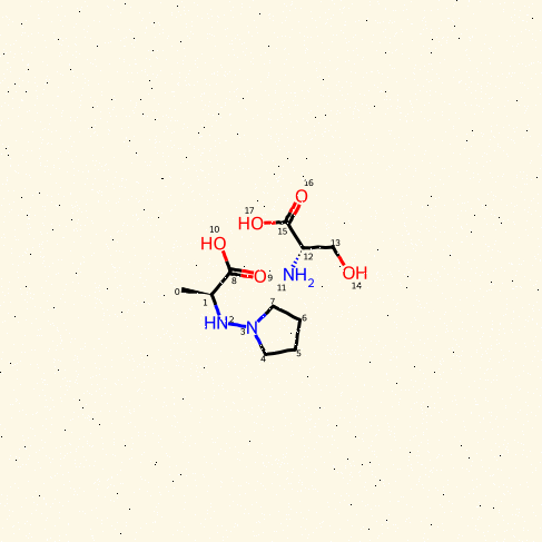 C[C@H](NN1CCCC1)C(=O)O.N[C@@H](CO)C(=O)O